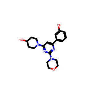 Oc1cccc(-c2cc(N3CCC(O)CC3)nc(N3CCOCC3)n2)c1